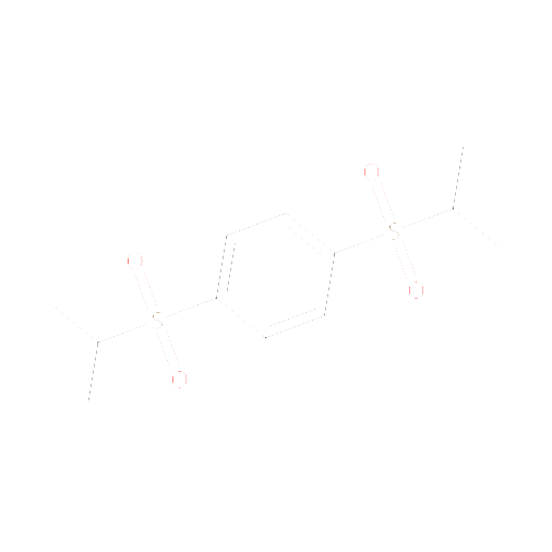 CC(C)S(=O)(=O)c1ccc(S(=O)(=O)C(C)C)cc1